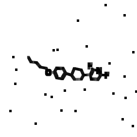 CCCCCOc1ccc(C2CCC(c3ccc(F)nc3F)CC2)cc1